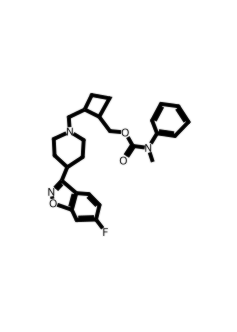 CN(C(=O)OCC1CCC1CN1CCC(c2noc3cc(F)ccc23)CC1)c1ccccc1